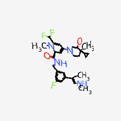 CC/C(=C\NC)c1cc(F)cc(CNC(=O)C2C=C(N3CC[C@@](C)(C4CC4)C(=O)C3)C=C(C(F)F)N2C)c1